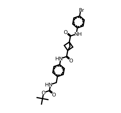 CC(C)(C)OC(=O)NCc1ccc(NC(=O)C23CC(C(=O)Nc4ccc(Br)cc4)(C2)C3)cc1